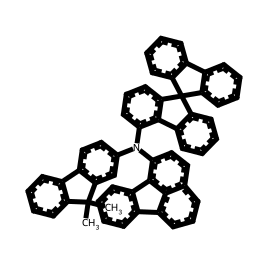 CC1(C)c2ccccc2-c2ccc(N(c3cccc4c3-c3ccccc3C43c4ccccc4-c4ccccc43)c3ccc4cccc5c4c3-c3ccccc3-5)cc21